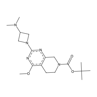 COc1nc(N2CC(N(C)C)C2)nc2c1CCN(C(=O)OC(C)(C)C)C2